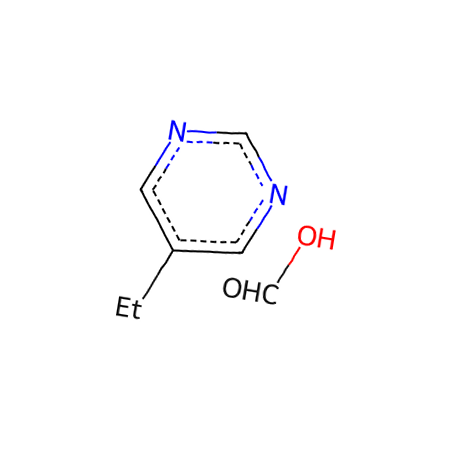 CCc1cncnc1.O=CO